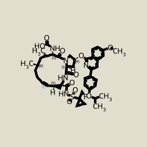 COc1ccc2c(O[C@@H]3C[C@H]4C(=O)N[C@]5(C(=O)NS(=O)(=O)C6(CF)CC6)C[C@H]5/C=C\CC[C@@H](C)C[C@@H](C)[C@H](NC(=O)O)C(=O)N4C3)nc(-c3ccc(OC(C)C)cc3)cc2c1